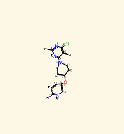 Cc1nc(Cl)c(C)c(N2CCC(Oc3ccc(I)nc3)CC2)n1